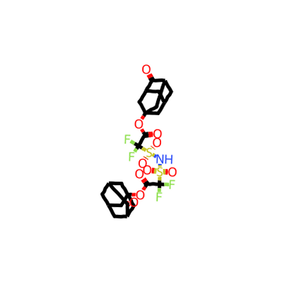 O=C1C2CC3CC1CC(OC(=O)C(F)(F)S(=O)(=O)NS(=O)(=O)C(F)(F)C(=O)OC14CC5CC(C1)C(=O)C(C5)C4)(C3)C2